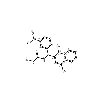 CCNC(=O)NC(c1cccc(N(CC)CC)c1)c1cc(C(C)(C)C)c2cccnc2c1O